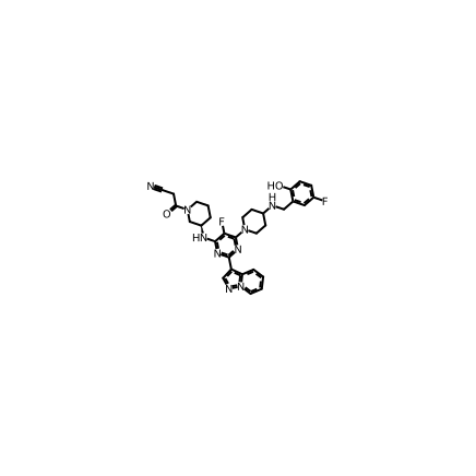 N#CCC(=O)N1CCC[C@@H](Nc2nc(-c3cnn4ccccc34)nc(N3CCC(NCc4cc(F)ccc4O)CC3)c2F)C1